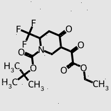 CCOC(=O)C(=O)C1CN(C(=O)OC(C)(C)C)C(C(F)(F)F)CC1=O